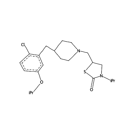 CC(C)Oc1ccc(Cl)c(CC2CCN(CC3CN(C(C)C)C(=O)S3)CC2)c1